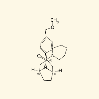 COCc1ccc([C@H]2C[C@H]3CC[C@@H](C2)N3C(=O)N2CCCCC2)cc1